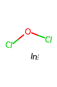 ClOCl.[In]